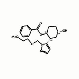 COCCOCn1nccc1[C@H]1C[C@@H](O)CC[C@@H]1OC(=O)c1ccccc1